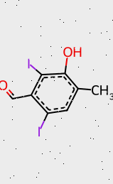 Cc1cc(I)c(C=O)c(I)c1O